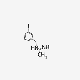 CC(=N)NCc1cccc(I)c1